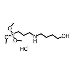 CO[Si](CCCNCCCCO)(OC)OC.Cl